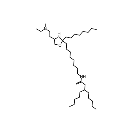 C=C(CC(CCCCC)CCCCC)NCCCCCCCCC1(CCCCCCCC)NC(CCN(C)CC)CO1